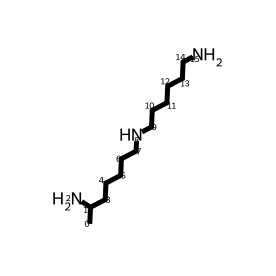 CC(N)CCCCCNCCCCCCN